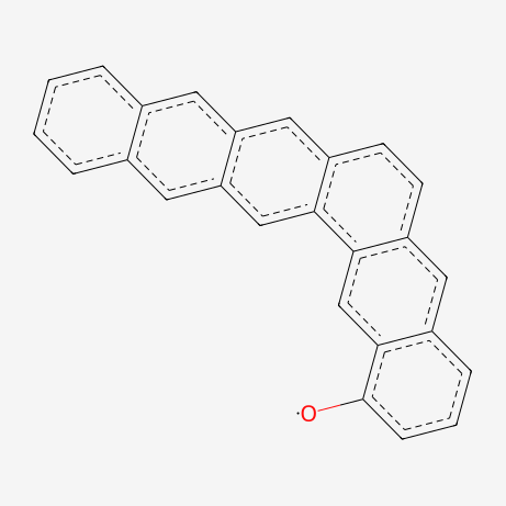 [O]c1cccc2cc3ccc4cc5cc6ccccc6cc5cc4c3cc12